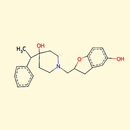 CC(c1ccccc1)C1(O)CCN(CC2Cc3cc(O)ccc3O2)CC1